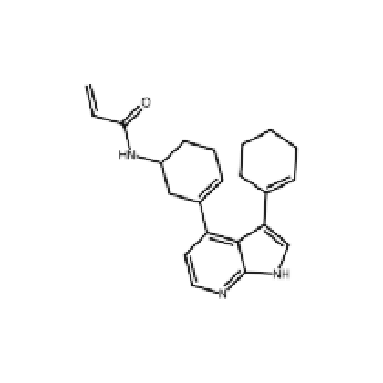 C=CC(=O)NC1CCC=C(c2ccnc3[nH]cc(C4=CCCCC4)c23)C1